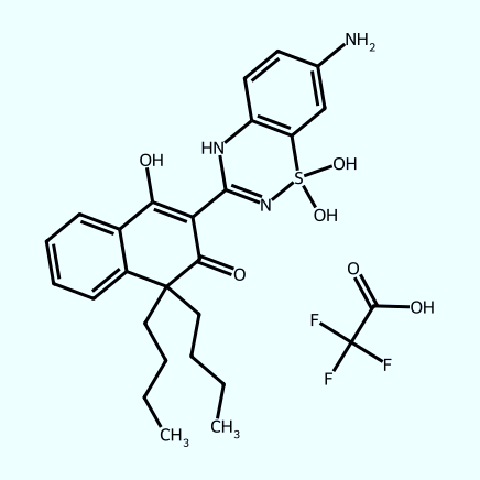 CCCCC1(CCCC)C(=O)C(C2=NS(O)(O)c3cc(N)ccc3N2)=C(O)c2ccccc21.O=C(O)C(F)(F)F